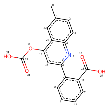 Cc1ccc2nc(-c3ccccc3C(=O)O)cc(OC(=O)O)c2c1